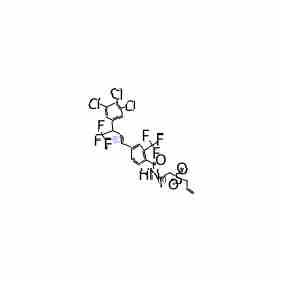 C=CCS(=O)(=O)C[C@@H](C)NC(=O)c1ccc(/C=C/C(c2cc(Cl)c(Cl)c(Cl)c2)C(F)(F)F)cc1C(F)(F)F